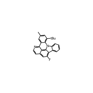 Cc1cc(C(C)(C)C)c2c(c1)c1nccc3cc(F)c4c5ccccc5n2c4c31